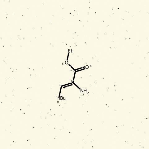 CCCCC=C(N)C(=O)OCC